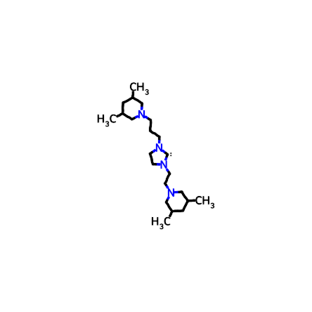 CC1CC(C)CN(CCCN2[C]N(CCN3CC(C)CC(C)C3)CC2)C1